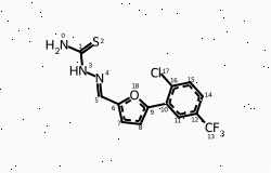 NC(=S)NN=Cc1ccc(-c2cc(C(F)(F)F)ccc2Cl)o1